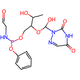 CC(O)C(COP(NCC=O)Oc1ccccc1)OC(O)n1ncc(=O)[nH]c1=O